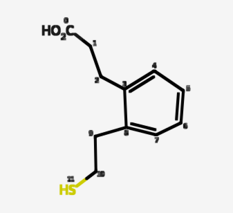 O=C(O)CCc1ccccc1CCS